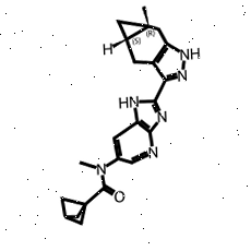 CN(C(=O)C12CC(C1)C2)c1cnc2nc(-c3n[nH]c4c3C[C@@H]3C[C@]3(C)C4)[nH]c2c1